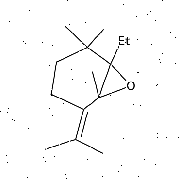 CCC12OC1(C)C(=C(C)C)CCC2(C)C